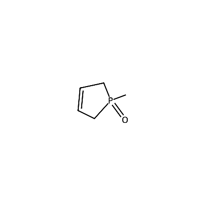 CP1(=O)CC=CC1